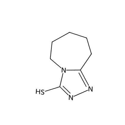 Sc1nnc2n1CCCCC2